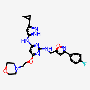 Fc1ccc(-c2cc(CNc3nc(Nc4cc(C5CC5)n[nH]4)cc(OCCN4CCOCC4)n3)on2)cc1